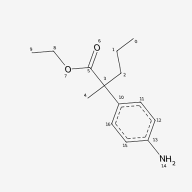 CCCC(C)(C(=O)OCC)c1ccc(N)cc1